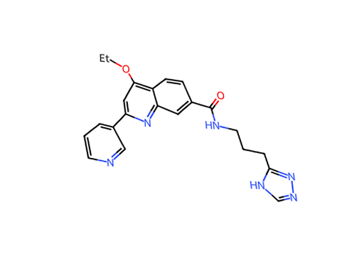 CCOc1cc(-c2cccnc2)nc2cc(C(=O)NCCCc3nnc[nH]3)ccc12